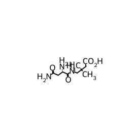 CC(C)(CNC(=O)[C@@H](N)CC(N)=O)CC(=O)O